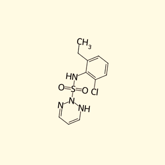 CCc1cccc(Cl)c1NS(=O)(=O)N1N=CC=CN1